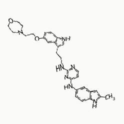 Cc1cc2cc(Nc3ccnc(NCCc4c[nH]c5ccc(OCCN6CCOCC6)cc45)n3)ccc2[nH]1